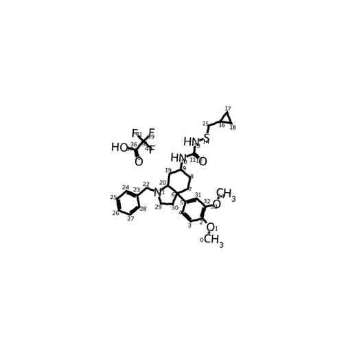 COc1ccc(C23CCC(NC(=O)NSCC4CC4)CC2N(Cc2ccccc2)CC3)cc1OC.O=C(O)C(F)(F)F